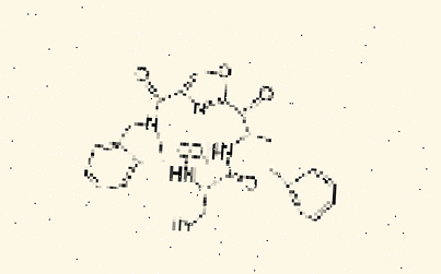 CC(C)CC(NC(=O)O)C(=O)NC(CCc1ccccc1)C(=O)c1nc(C(=O)N2CCc3ccccc3C2)co1